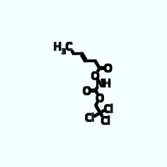 CC/C=C/CC(=O)ONC(=O)OCC(Cl)(Cl)Cl